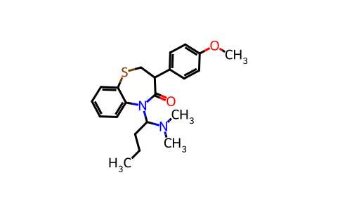 CCCC(N(C)C)N1C(=O)C(c2ccc(OC)cc2)CSc2ccccc21